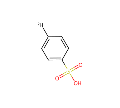 [2H]c1ccc(S(=O)(=O)O)cc1